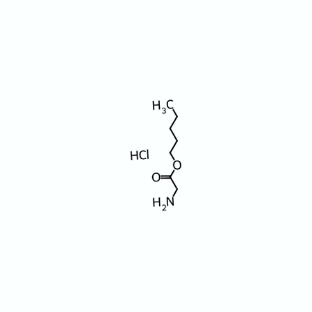 CCCCCOC(=O)CN.Cl